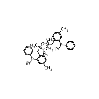 Cc1ccc(C[Si](C)(C)O[Si](C)(C)Cc2ccc(C)cc2P(c2ccccc2)C(C)C)c(P(c2ccccc2)C(C)C)c1